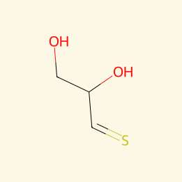 OCC(O)C=S